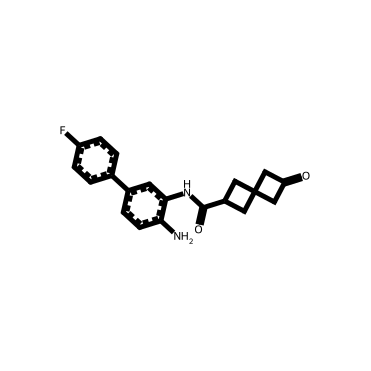 Nc1ccc(-c2ccc(F)cc2)cc1NC(=O)C1CC2(CC(=O)C2)C1